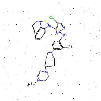 CCc1cc(N2CCC(N3CCN(C)CC3)CC2)ccc1Nc1ncc(Cl)c(N2SN3CCc4cccc2c43)n1